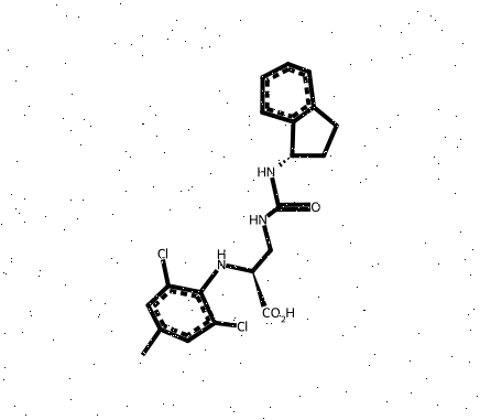 Cc1cc(Cl)c(N[C@@H](CNC(=O)N[C@H]2CCc3ccccc32)C(=O)O)c(Cl)c1